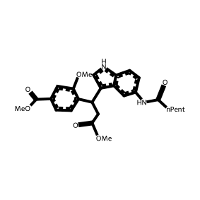 CCCCCC(=O)Nc1ccc2[nH]cc(C(CC(=O)OC)c3ccc(C(=O)OC)cc3OC)c2c1